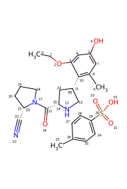 CCOc1cc(O)cc(C)c1[C@@H]1CN[C@H](C(=O)N2CCC[C@H]2C#N)C1.Cc1ccc(S(=O)(=O)O)cc1